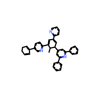 CC1C(c2ccc(C3=CCCC=C3)cn2)=CC(c2ccccn2)=CC1c1cc(-c2ccccc2)nc(-c2ccccc2)c1